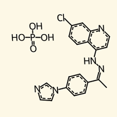 CC(=NNc1ccnc2cc(Cl)ccc12)c1ccc(-n2ccnc2)cc1.O=P(O)(O)O